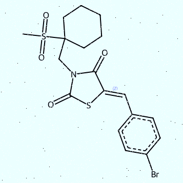 CS(=O)(=O)C1(CN2C(=O)S/C(=C\c3ccc(Br)cc3)C2=O)CCCCC1